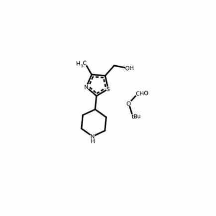 CC(C)(C)OC=O.Cc1nc(C2CCNCC2)sc1CO